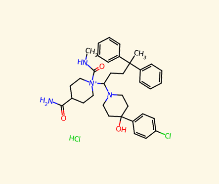 CNC(=O)[N+]1(C(CCC(C)(c2ccccc2)c2ccccc2)N2CCC(O)(c3ccc(Cl)cc3)CC2)CCC(C(N)=O)CC1.Cl